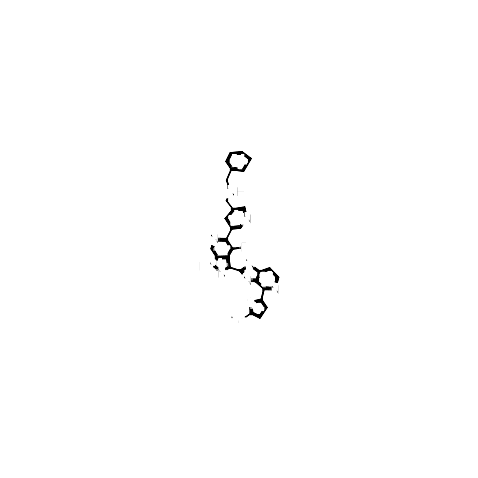 CC(=O)c1ccc(-c2nccc3[nH]c(-c4n[nH]c5cnc(-c6cncc(CNCc7ccccc7)c6)c(F)c45)nc23)s1